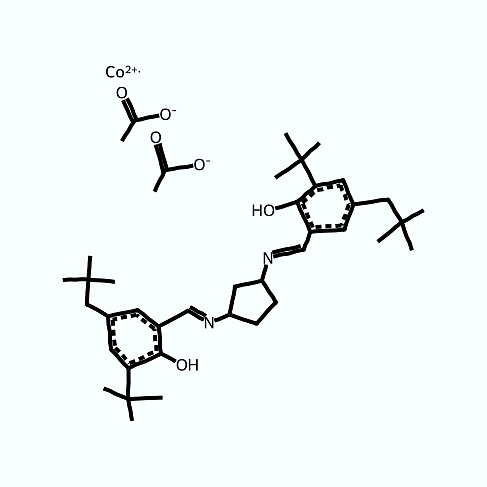 CC(=O)[O-].CC(=O)[O-].CC(C)(C)Cc1cc(C=NC2CCC(N=Cc3cc(CC(C)(C)C)cc(C(C)(C)C)c3O)C2)c(O)c(C(C)(C)C)c1.[Co+2]